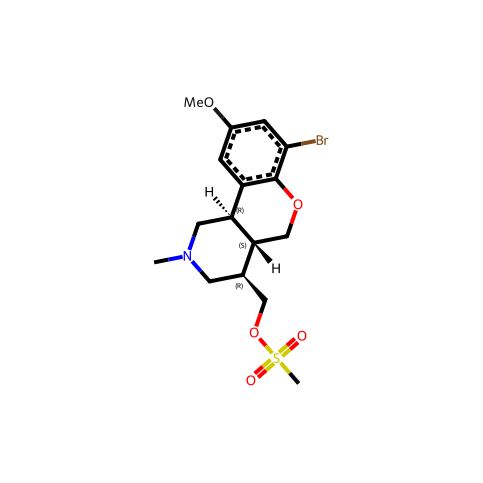 COc1cc(Br)c2c(c1)[C@@H]1CN(C)C[C@H](COS(C)(=O)=O)[C@H]1CO2